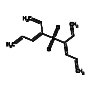 C=C/C=C(\C=C)S(=O)(=O)/C(C=C)=C/C=C